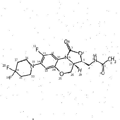 CC(=O)NC[C@@H]1OC(=O)N2c3cc(F)c(N4CCC(F)(F)CC4)cc3OC[C@@H]12